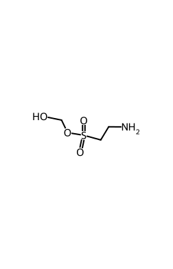 NCCS(=O)(=O)OCO